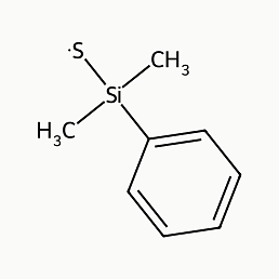 C[Si](C)([S])c1ccccc1